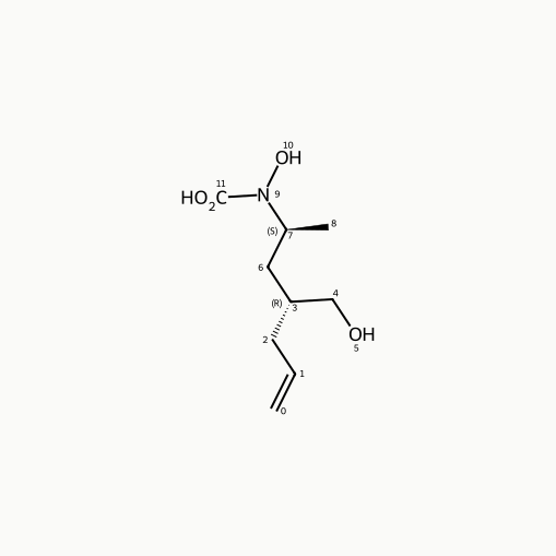 C=CC[C@@H](CO)C[C@H](C)N(O)C(=O)O